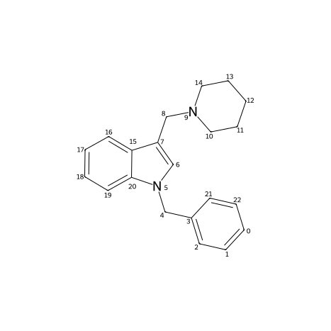 c1ccc(Cn2cc(CN3CCCCC3)c3ccccc32)cc1